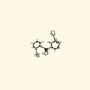 O=C(c1ccnc(Cl)n1)c1ccccc1Br